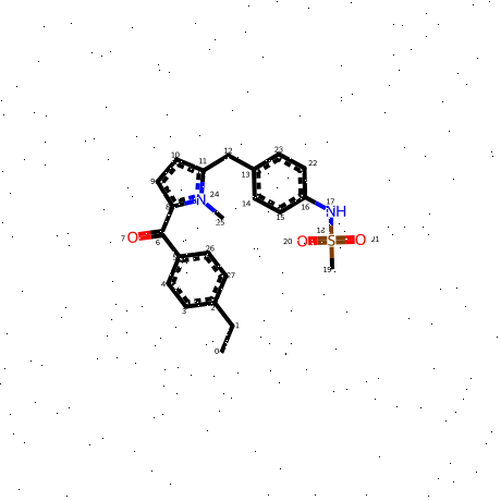 CCc1ccc(C(=O)c2ccc(Cc3ccc(NS(C)(=O)=O)cc3)n2C)cc1